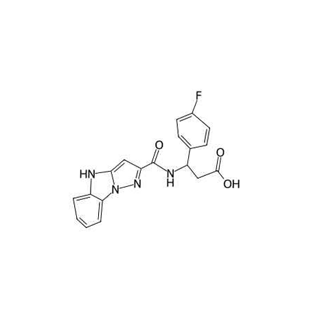 O=C(O)CC(NC(=O)c1cc2[nH]c3ccccc3n2n1)c1ccc(F)cc1